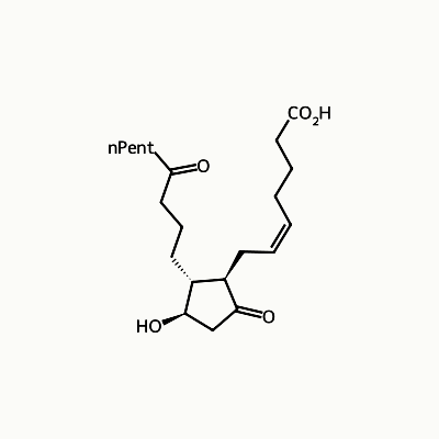 CCCCCC(=O)CCC[C@H]1[C@H](O)CC(=O)[C@@H]1C/C=C\CCCC(=O)O